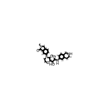 CN1Cc2ccc(N3CCO[C@H]([C@@H](O)C(=O)Nc4ccc5c(c4)CCNC5)C3=O)cc2C1=O